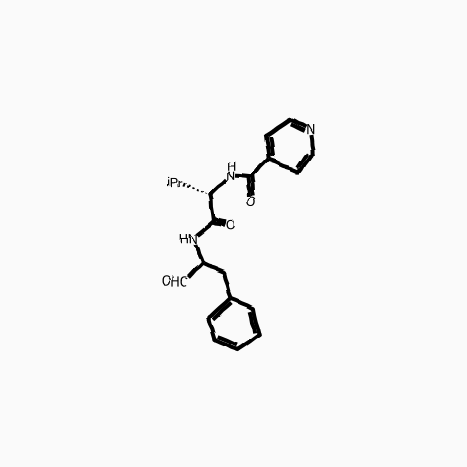 CC(C)[C@H](NC(=O)c1ccncc1)C(=O)NC(C=O)Cc1ccccc1